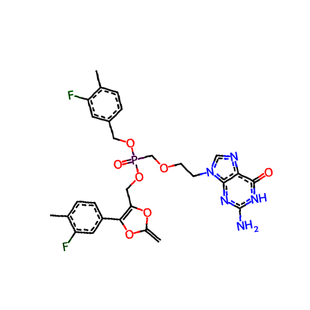 C=C1OC(COP(=O)(COCCn2cnc3c(=O)[nH]c(N)nc32)OCc2ccc(C)c(F)c2)=C(c2ccc(C)c(F)c2)O1